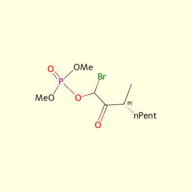 CCCCC[C@@H](C)C(=O)C(Br)OP(=O)(OC)OC